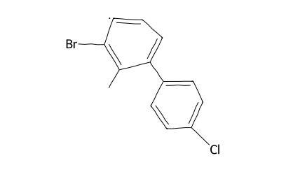 Cc1c(Br)[c]ccc1-c1ccc(Cl)cc1